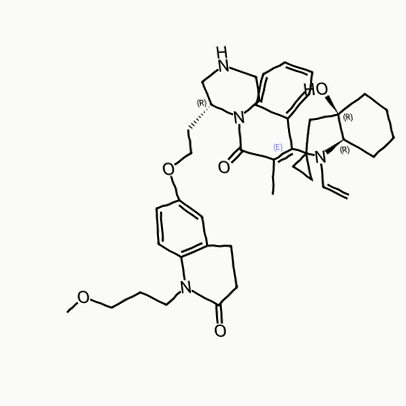 C=CN(/C(=C(\C)C(=O)N1CCNC[C@H]1CCOc1ccc2c(c1)CCC(=O)N2CCCOC)c1ccccc1)[C@@H]1CCCC[C@@]1(O)CC1CC1